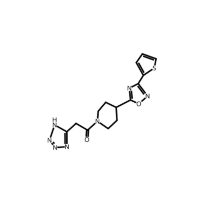 O=C(Cc1nnn[nH]1)N1CCC(c2nc(-c3cccs3)no2)CC1